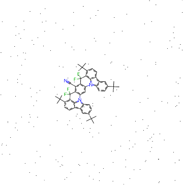 CC(C)(C)c1ccc2c(c1)c1ccc(C(C)(C)C)c3c1n2-c1cc2c(c(C#N)c1C3(F)F)C(F)(F)c1c(C(C)(C)C)ccc3c4cc(C(C)(C)C)ccc4n-2c13